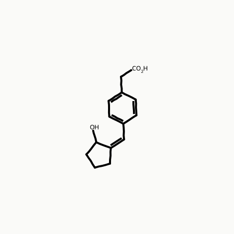 O=C(O)Cc1ccc(C=C2CCCC2O)cc1